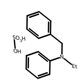 CCN(Cc1ccccc1)c1ccccc1.O=S(=O)(O)O